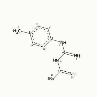 Cc1ccc(NC(=N)NC(=N)C(C)(C)C)cc1